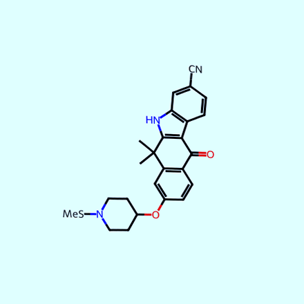 CSN1CCC(Oc2ccc3c(c2)C(C)(C)c2[nH]c4cc(C#N)ccc4c2C3=O)CC1